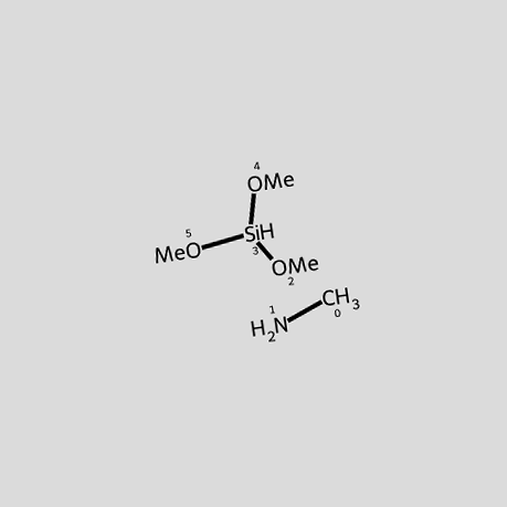 CN.CO[SiH](OC)OC